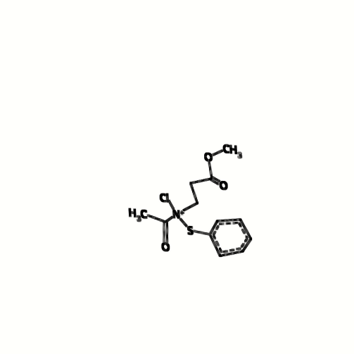 COC(=O)CC[N+](Cl)(Sc1ccccc1)C(C)=O